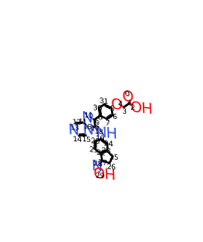 O=C(O)COc1ccc(C2N=C3C=NC=CN3C2Nc2ccc3c(c2)CC/C3=N\O)cc1